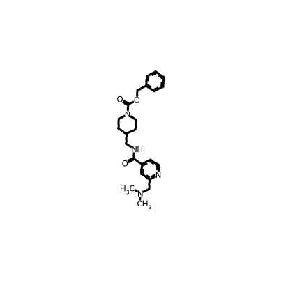 CN(C)Cc1cc(C(=O)NCC2CCN(C(=O)OCc3ccccc3)CC2)ccn1